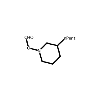 CCCCCC1CCCN(OC=O)C1